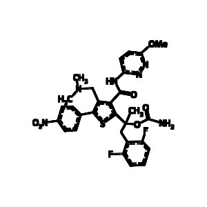 COc1ccc(NC(=O)c2c(C(C)(Cc3c(F)cccc3F)OC(N)=O)sc(-c3ccc([N+](=O)[O-])cc3)c2CN(C)C)nn1